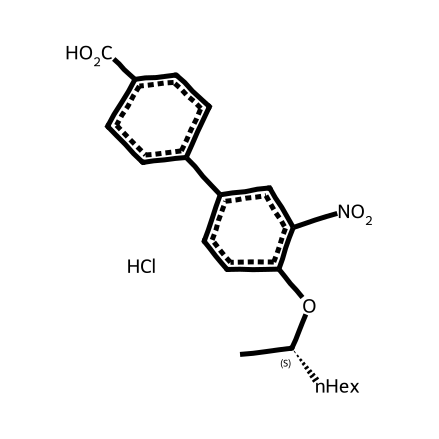 CCCCCC[C@H](C)Oc1ccc(-c2ccc(C(=O)O)cc2)cc1[N+](=O)[O-].Cl